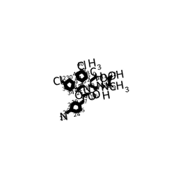 CCC[C@@H](C(=O)NN[C@H](C)C(=O)O)N1C(=O)[C@@H](Cc2ccc(C#N)cc2)O[C@H](c2ccc(Cl)cc2)[C@@H]1c1ccc(Cl)cc1